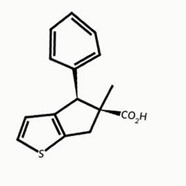 C[C@]1(C(=O)O)Cc2sccc2[C@H]1c1ccccc1